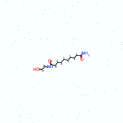 NC(=O)CCCCCCCCC(=O)NCCO